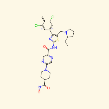 C=C/C(Cl)=C\C(=C/CCl)c1nc(NC(=O)c2cnc(N3CCC(C(=O)N=O)CC3)cn2)sc1CN1CCCC1CC